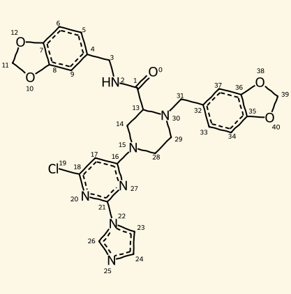 O=C(NCc1ccc2c(c1)OCO2)C1CN(c2cc(Cl)nc(-n3ccnc3)n2)CCN1Cc1ccc2c(c1)OCO2